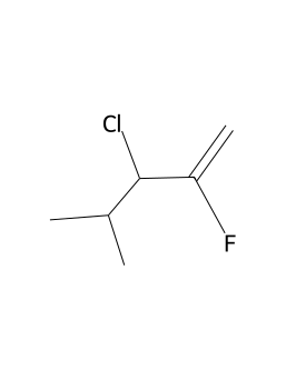 C=C(F)C(Cl)C(C)C